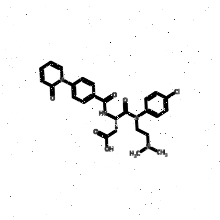 CN(C)CCN(C(=O)[C@H](CC(=O)O)NC(=O)c1ccc(-n2ccccc2=O)cc1)c1ccc(Cl)cc1